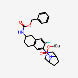 CC(C)(C)OC(=O)N1C2CCC1CN(c1cc3c(cc1F)CC(NC(=O)OCc1ccccc1)CC3)C2